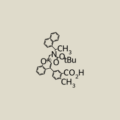 Cc1ccc(C2=C[C@H](CN(C(=O)OC(C)(C)C)C(C)c3cccc4ccccc34)Oc3ccccc32)cc1C(=O)O